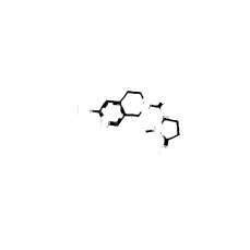 CN1C(=O)CC[C@@H]1C(=O)N1CCc2cc(O)ncc2C1